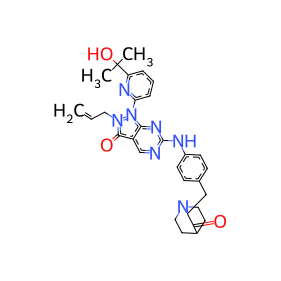 C=CCn1c(=O)c2cnc(Nc3ccc(CC4C(=O)C5CCN4CC5)cc3)nc2n1-c1cccc(C(C)(C)O)n1